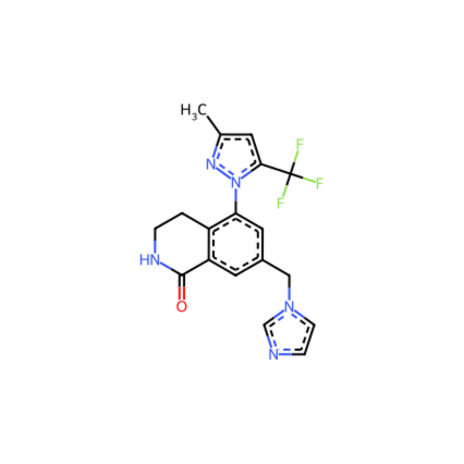 Cc1cc(C(F)(F)F)n(-c2cc(Cn3ccnc3)cc3c2CCNC3=O)n1